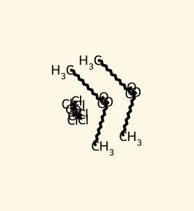 CCCCCCCCCCCCCC(=O)OC(=O)CCCCCCCCCCCCC.CCCCCCCCCCCCCC(=O)OC(=O)CCCCCCCCCCCCC.O=C(OC(=O)C(Cl)(Cl)Cl)C(Cl)(Cl)Cl